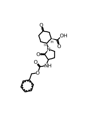 O=C1CC[C@H](N2CCC(NC(=O)OCc3ccccc3)C2=O)[C@H](C(=O)O)C1